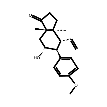 C=C[C@@H]1[C@@H](c2ccc(OC)cc2)[C@H](O)C[C@]2(C)C(=O)CC[C@@H]12